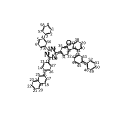 c1ccc(-c2cccc(-c3nc(-c4ccc(-c5ccc6ccccc6c5)cc4)nc(-c4ccc5c(c4)oc4cccc(-c6cccc(-c7ccccc7)c6)c45)n3)c2)cc1